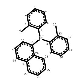 Cc1ccccc1P(c1ccccc1C)c1cccc2ccccc12